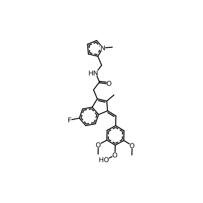 COc1cc(/C=C2/C(C)=C(CC(=O)NCc3cccn3C)c3cc(F)ccc32)cc(OC)c1OO